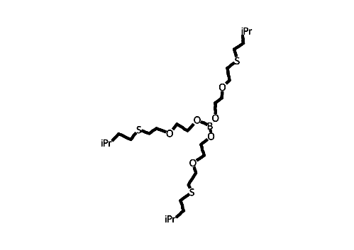 CC(C)CCSCCOCCOB(OCCOCCSCCC(C)C)OCCOCCSCCC(C)C